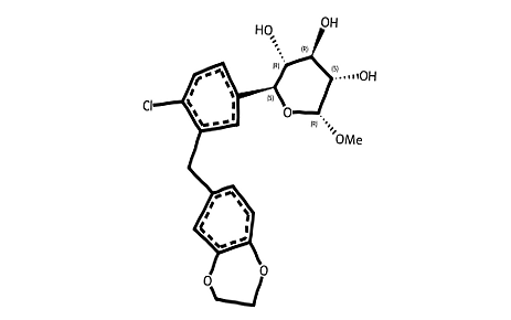 CO[C@@H]1O[C@@H](c2ccc(Cl)c(Cc3ccc4c(c3)OCCO4)c2)[C@H](O)[C@@H](O)[C@@H]1O